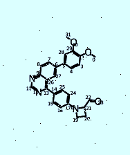 COc1ccc(-c2ccc3ncnc(-c4ccc(N5CCC5C=O)cc4)c3c2)cc1OC